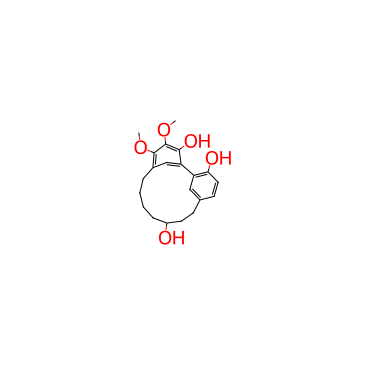 COc1c2cc(c(O)c1OC)-c1cc(ccc1O)CCC(O)CCCC2